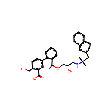 CC(OC[C@@H](O)CNC(C)(C)Cc1ccc2ccccc2c1)c1ccccc1-c1ccc(CO)c(C(=O)O)c1